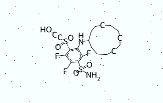 NS(=O)(=O)c1c(F)c(F)c(S(=O)(=O)CCO)c(NC2CCCCCCCCCCC2)c1F